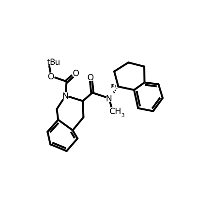 CN(C(=O)C1Cc2ccccc2CN1C(=O)OC(C)(C)C)[C@@H]1CCCc2ccccc21